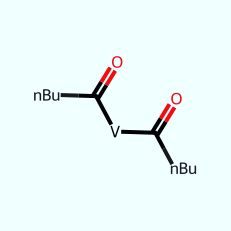 CCCC[C](=O)[V][C](=O)CCCC